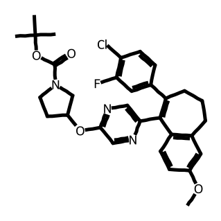 COc1ccc2c(c1)CCCC(c1ccc(Cl)c(F)c1)=C2c1cnc(OC2CCN(C(=O)OC(C)(C)C)C2)cn1